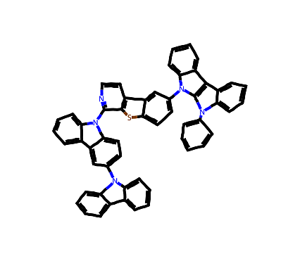 c1ccc(-n2c3ccccc3c3c4ccccc4n(-c4ccc5sc6c(-n7c8ccccc8c8cc(-n9c%10ccccc%10c%10ccccc%109)ccc87)nccc6c5c4)c32)cc1